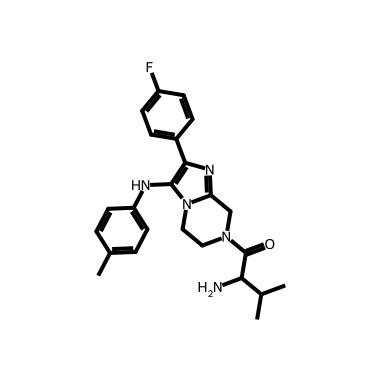 Cc1ccc(Nc2c(-c3ccc(F)cc3)nc3n2CCN(C(=O)C(N)C(C)C)C3)cc1